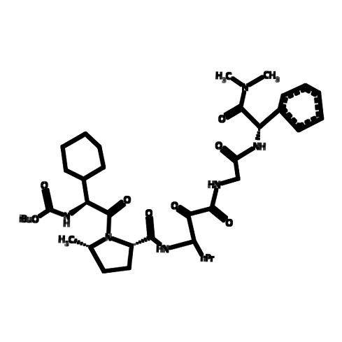 CCCC(NC(=O)[C@@H]1CC[C@H](C)N1C(=O)[C@@H](NC(=O)OCC(C)C)C1CCCCC1)C(=O)C(=O)NCC(=O)N[C@H](C(=O)N(C)C)c1ccccc1